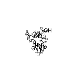 COc1ccc(C=NNC(=O)c2cccnc2NC(=O)c2cccc(CN(CC(C)O)CC(C)O)c2)cc1